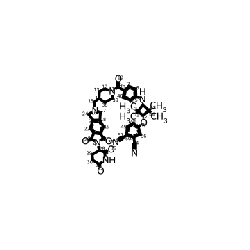 CC1(C)[C@H](Nc2ccc(C(=O)N3CCC(CN4Cc5cc6c(cc5C4)C(=O)N(C4CCC(=O)NC4=O)C6=O)CC3)cc2)C(C)(C)[C@H]1Oc1ccc(C#N)c(C#N)c1